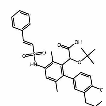 Cc1cc(NS(=O)(=O)/C=C/c2ccccc2)c(C)c(C(OC(C)(C)C)C(=O)O)c1-c1ccc2c(c1)CCCO2